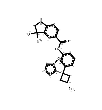 Cn1cnnc1[C@]1(c2cccc(NC(=O)c3ccc4c(n3)C(C)(C)CN4)c2)C[C@H](C)C1